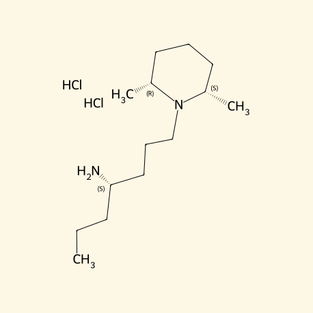 CCC[C@H](N)CCCN1[C@H](C)CCC[C@@H]1C.Cl.Cl